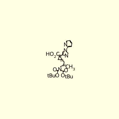 C[C@@H](C[C@H]1C[C@]1(C(=O)O)c1cn(-c2ccccn2)cn1)CN(C(=O)OC(C)(C)C)C(=O)OC(C)(C)C